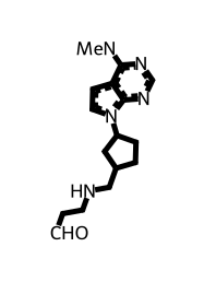 CNc1ncnc2c1ccn2C1CCC(CNCCC=O)C1